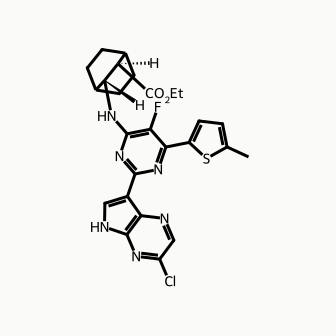 CCOC(=O)[C@@H]1C2CCC(CC2)[C@H]1Nc1nc(-c2c[nH]c3nc(Cl)cnc23)nc(-c2ccc(C)s2)c1F